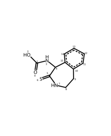 O=C(O)NC1C(=S)NCCc2ccccc21